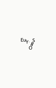 O=S.[Eu].[Y]